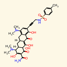 Cc1ccc(S(=O)(=O)NCC#Cc2cc(N(C)C)c3c(c2O)C(=O)C2=C(O)[C@@]4(O)C(=O)C(C(N)=O)=C(O)C(N(C)C)[C@H]4C[C@H]2C3)cc1